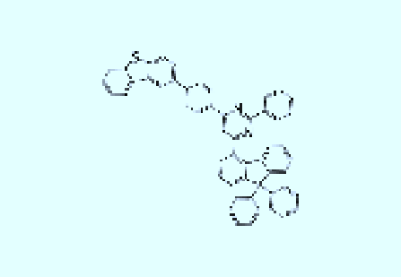 c1ccc(-c2nc(-c3ccc(-c4ccc5sc6ccccc6c5c4)cc3)cc(-c3cccc4c3-c3ccccc3C4(c3ccccc3)c3ccccc3)n2)cc1